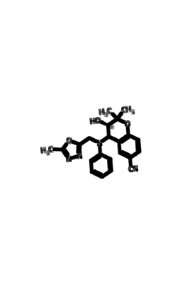 Cc1nnc(CN(c2ccccc2)C2c3cc(C#N)ccc3OC(C)(C)[C@@H]2O)o1